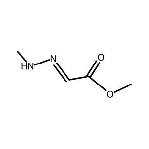 CN/N=C/C(=O)OC